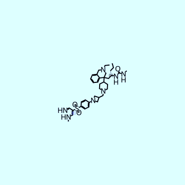 CCC[C@@H](CC1(C2CCN(CC3CN(c4ccc(S(=O)(=O)/C(C=N)=C/NC)cc4)C3)CC2)CN(CC)Cc2ccccc21)NC(=O)NC